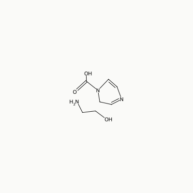 NCCO.O=C(O)N1C=CN=CC1